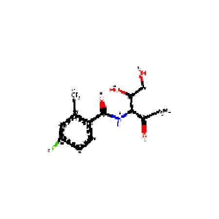 CNC(=O)C(NC(=O)c1ccc(F)cc1C(F)(F)F)C(O)CO